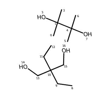 CC(C)(O)C(C)(C)O.CCC(CC)(CO)CO